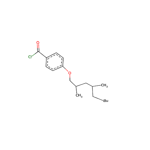 CCC(C)CC(C)CC(C)COc1ccc(C(=O)Cl)cc1